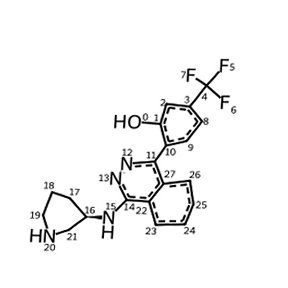 Oc1cc(C(F)(F)F)ccc1-c1nnc(N[C@@H]2CCCNC2)c2ccccc12